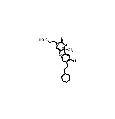 CC(C)C1=CN(CCC(=O)O)C(=O)N[C@]1(C)c1ccc(CCC2CCCCC2)c(Cl)c1